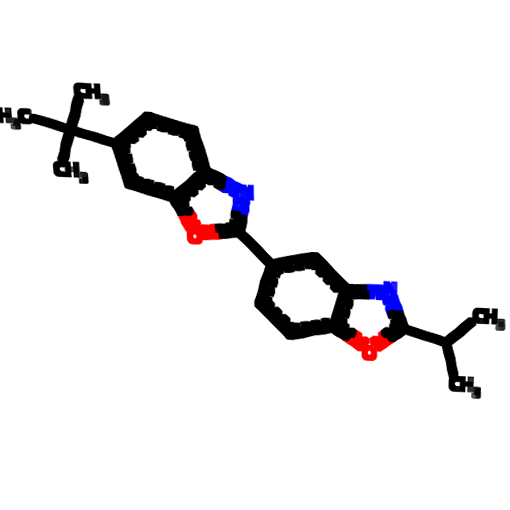 CC(C)c1nc2cc(-c3nc4ccc(C(C)(C)C)cc4o3)ccc2o1